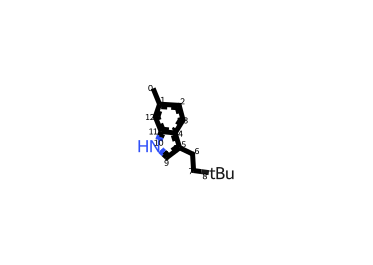 Cc1ccc2c(CCC(C)(C)C)c[nH]c2c1